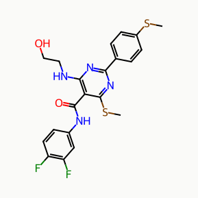 CSc1ccc(-c2nc(NCCO)c(C(=O)Nc3ccc(F)c(F)c3)c(SC)n2)cc1